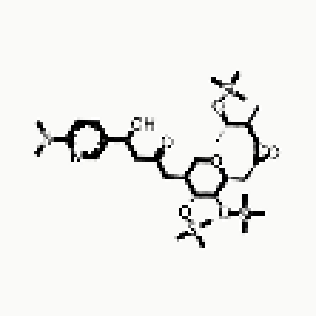 C[C@@H]([C@@H]1O[C@H]1C[C@@H]1OC[C@H](CC(=O)CC(O)c2ccc(N(C)C)nc2)[C@@H](O[Si](C)(C)C)[C@@H]1O[Si](C)(C)C)[C@H](C)O[Si](C)(C)C